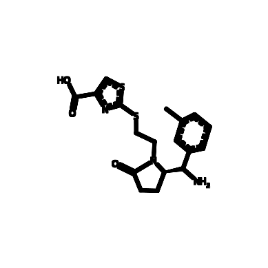 Cc1cccc(C(N)[C@H]2CCC(=O)N2CCSc2nc(C(=O)O)cs2)c1